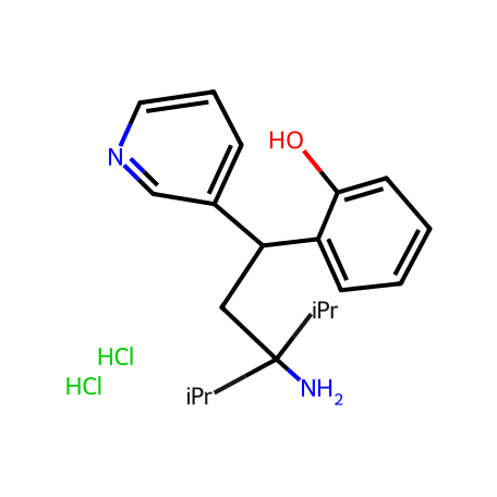 CC(C)C(N)(CC(c1cccnc1)c1ccccc1O)C(C)C.Cl.Cl